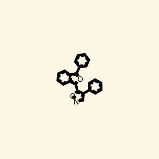 c1ccc(-c2cnoc2-c2oc(-c3ccccc3)c3ccccc23)cc1